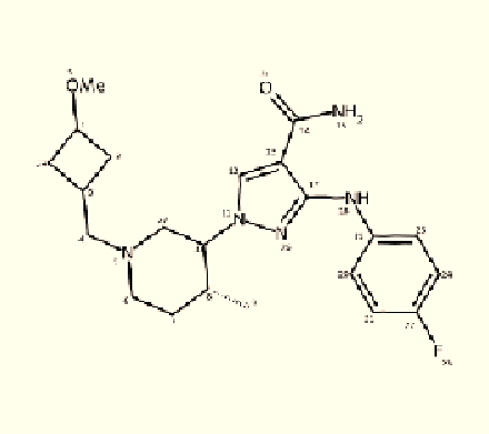 COC1CC(CN2CC[C@@H](C)C(n3cc(C(N)=O)c(Nc4ccc(F)cc4)n3)C2)C1